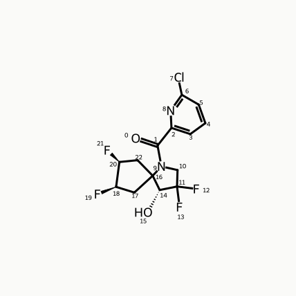 O=C(c1cccc(Cl)n1)N1CC(F)(F)[C@H](O)C12C[C@@H](F)[C@@H](F)C2